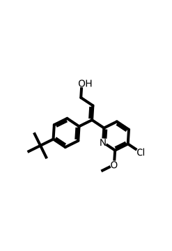 COc1nc(/C(=C/CO)c2ccc(C(C)(C)C)cc2)ccc1Cl